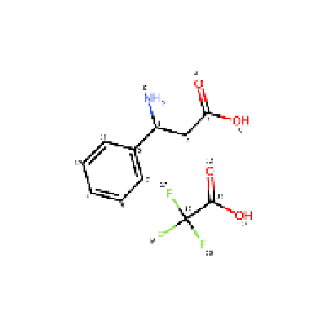 NC(CC(=O)O)c1ccccc1.O=C(O)C(F)(F)F